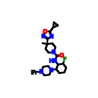 CC(C)N1CCN(C2CCCC(F)[C@@H]2NC(=O)N2CCC(C)(c3noc(C4CC4)n3)CC2)CC1